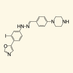 Ic1cc(NN=Cc2ccc(N3CCNCC3)cc2)ccc1-c1cnco1